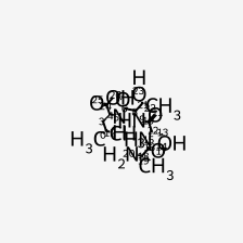 CC(C)C[C@H](NC(=O)[C@@H](NC(=O)[C@H](CO)NC(=O)[C@H](C)N)[C@@H](C)O)C(=O)O